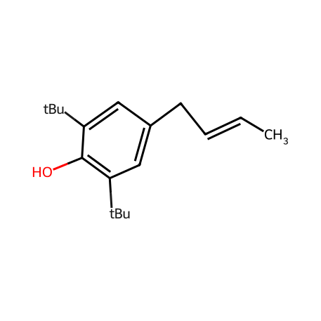 CC=CCc1cc(C(C)(C)C)c(O)c(C(C)(C)C)c1